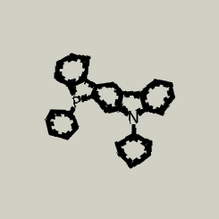 c1ccc(-n2c3ccccc3c3cc4c5ccccc5p(-c5ccccc5)c4cc32)cc1